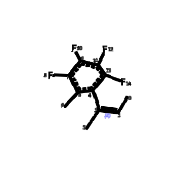 C/C=C(/C)c1c(C)c(F)c(F)c(F)c1F